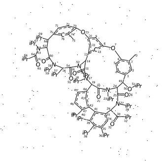 Cc1cc2ccc1Oc1cc3cc(c1)C(C(=O)N(C(C)C)C1C(=O)N(C(C)C)C(C(=O)N(C(C)C)C(C(=O)C(C)C)c4cc(C(C)C)c(C(C)C)c(C(C)C)c4-c4cc1ccc4C(C)C)C2OC(C)C)N(C(C)C)C(=O)C(C(C)C)N(C(C)C)C(=O)C(N(C(=O)C(C)C)C(C)C)C(C(C)C)c1ccc(c(C)c1)O3